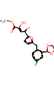 COC(=O)C(O)=CC(=O)c1ccc(Cc2ccc(F)cc2C2OCCO2)o1